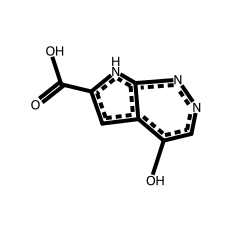 O=C(O)c1cc2c(O)cnnc2[nH]1